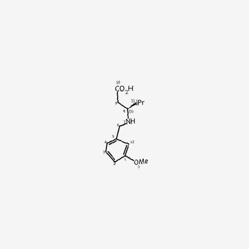 COc1cccc(CN[C@@H](CC(=O)O)C(C)C)c1